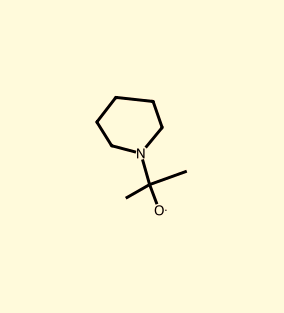 CC(C)([O])N1CCCCC1